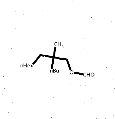 CCCCCCCC(C)(CCCC)COC=O